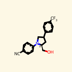 N#Cc1ccc(N2CC(c3ccc(C(F)(F)F)cc3)C[C@H]2CO)cc1